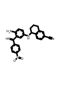 N#Cc1ccc2c(c1)CCCC2Nc1ccc(N)c(C(=N)c2ccc([N+](=O)[O-])cc2)c1